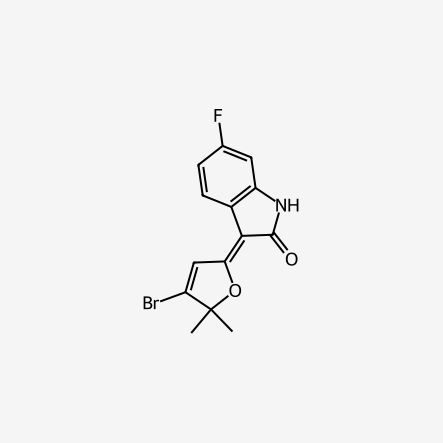 CC1(C)OC(=C2C(=O)Nc3cc(F)ccc32)C=C1Br